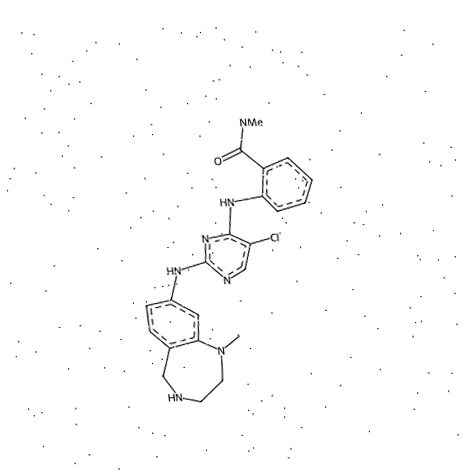 CNC(=O)c1ccccc1Nc1nc(Nc2ccc3c(c2)N(C)CCNC3)ncc1Cl